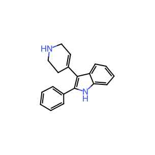 C1=C(c2c(-c3ccccc3)[nH]c3ccccc23)CCNC1